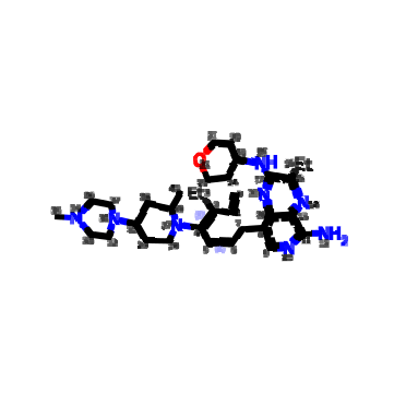 C=C/C(CC)=C(\C=C/Cc1cnc(N)c2nc(CC)c(NC3CCOCC3)nc12)N1CCC(N2CCN(C)CC2)CC1C